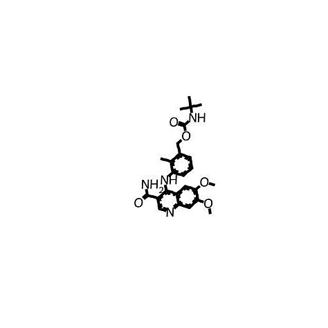 COc1cc2ncc(C(N)=O)c(Nc3cccc(COC(=O)NC(C)(C)C)c3C)c2cc1OC